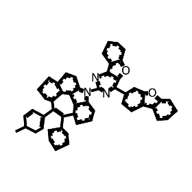 CC1C=CC(C2=C(c3ccccc3)c3cccc4c3c3c5c2cccc5ccc3n4-c2nc(-c3ccc4c(c3)oc3ccccc34)c3oc4ccccc4c3n2)=CC1